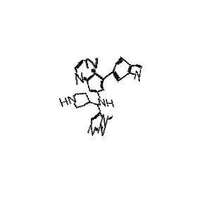 Cn1nncc1C(Nc1cc(-c2ccc3ccn(C)c3c2)c2nccnc2c1)C1CCNCC1